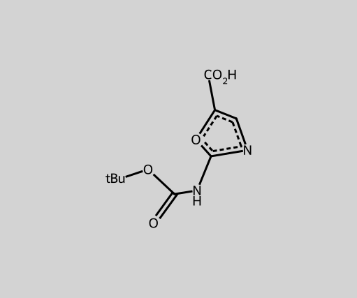 CC(C)(C)OC(=O)Nc1ncc(C(=O)O)o1